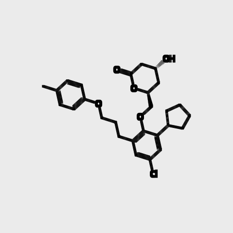 Cc1ccc(OCCCc2cc(Cl)cc(C3CCCC3)c2OC[C@@H]2C[C@@H](O)CC(=O)O2)cc1